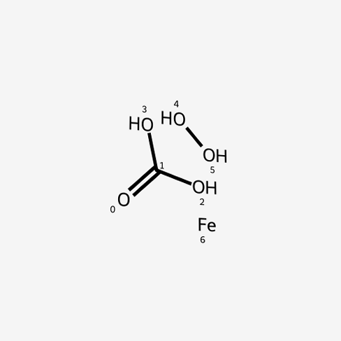 O=C(O)O.OO.[Fe]